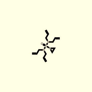 C=CCN(CC=C)P(=O)(N(CC=C)CC=C)N1CC1